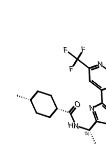 C[C@H](NC(=O)[C@H]1CC[C@@H](C)CC1)c1nc(-c2ccnc(C(F)(F)F)c2)no1